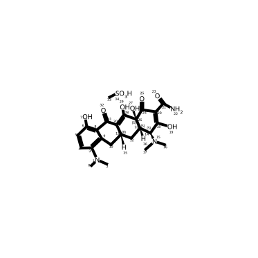 CN(C)c1ccc(O)c2c1C[C@H]1C[C@H]3[C@H](N(C)C)C(O)=C(C(N)=O)C(=O)[C@@]3(O)C(O)=C1C2=O.CS(=O)(=O)O